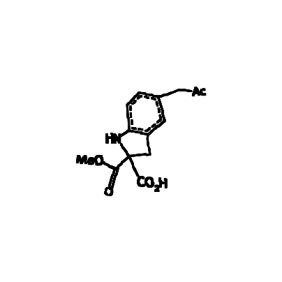 COC(=O)C1(C(=O)O)Cc2cc(CC(C)=O)ccc2N1